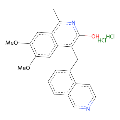 COc1cc2c(C)nc(O)c(Cc3cccc4cnccc34)c2cc1OC.Cl.Cl